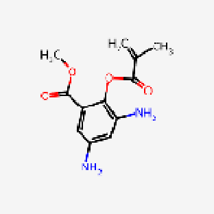 C=C(C)C(=O)Oc1c(N)cc(N)cc1C(=O)OC